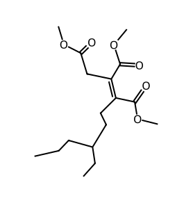 CCCC(CC)CC/C(C(=O)OC)=C(\CC(=O)OC)C(=O)OC